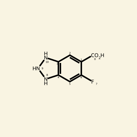 O=C(O)c1cc2c(cc1F)NNN2